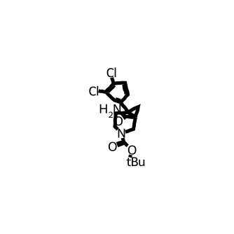 CC(C)(C)OC(=O)N1CCC2(c3ccc(Cl)c(Cl)c3)CC2(C(N)=O)C1